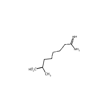 CC(CCCCCC(=N)N)C(=O)O